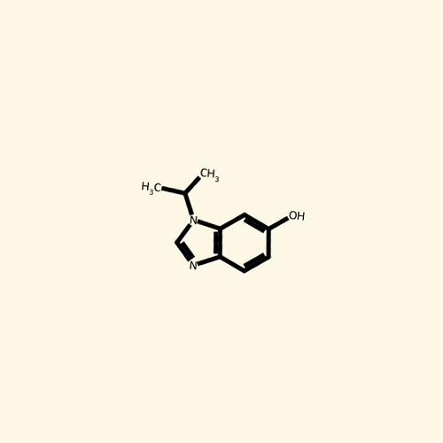 CC(C)n1cnc2ccc(O)cc21